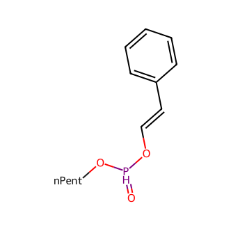 CCCCCO[PH](=O)OC=Cc1ccccc1